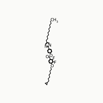 CCCCCCCCCCCCc1cnc(-c2ccc(OC(=O)c3ccc(OCCCCCCCCC4CC4)c(F)c3F)cc2)nc1